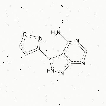 Nc1ncnc2n[nH]c(-c3ccon3)c12